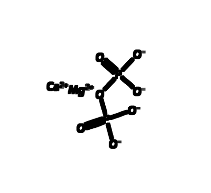 O=P([O-])([O-])OP(=O)([O-])[O-].[Ca+2].[Mg+2]